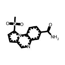 CS(=O)(=O)c1ccc2cnc3cc(C(N)=O)ccc3n12